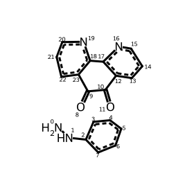 NNc1ccccc1.O=C1C(=O)c2cccnc2-c2ncccc21